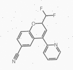 N#Cc1ccc2c(c1)C(c1ccccn1)=CC(C(F)F)O2